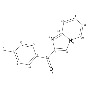 Cc1ccc(C(=O)c2cn3ccccc3n2)cc1